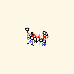 C=CCN(CC=C)[C@@H]1c2onc(OCc3ccccc3)c2C(=O)[C@@]2(O[Si](C)(C)C(C)(C)C)C(O)=C3C(=O)c4c(c(F)c5c(c4OCc4ccccc4)N(C(=O)OC(C)(C)C)CC4CCN(C)C54)C[C@H]3C[C@@H]12